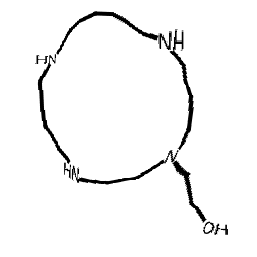 OCCN1CCCNCCCNCCCNCC1